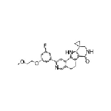 COCCOc1cc(F)cc(-c2cc3c(cn2)CCc2c-3[nH]c3c2C(=O)NCC32CC2)c1